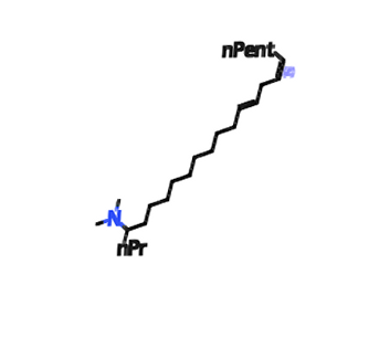 CCCCC/C=C\CC=CCCCCCCCCCC(CCC)N(C)C